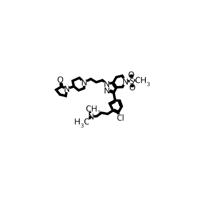 CN(C)CCCc1cc(-c2nn(CCCN3CCC(N4CCCC4=O)CC3)c3c2CN(S(C)(=O)=O)CC3)ccc1Cl